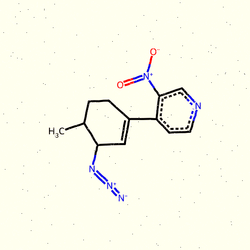 CC1CCC(c2ccncc2[N+](=O)[O-])=CC1N=[N+]=[N-]